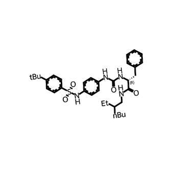 CCCCC(CC)CNC(=O)[C@@H](Cc1ccccc1)NC(=O)Nc1ccc(NS(=O)(=O)c2ccc(C(C)(C)C)cc2)cc1